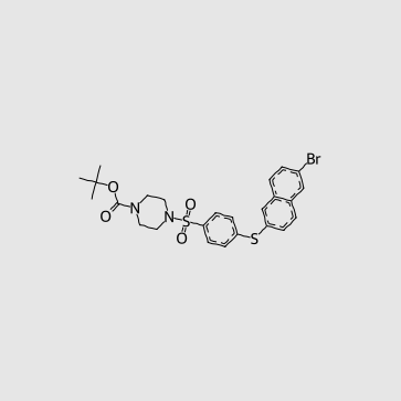 CC(C)(C)OC(=O)N1CCN(S(=O)(=O)c2ccc(Sc3ccc4cc(Br)ccc4c3)cc2)CC1